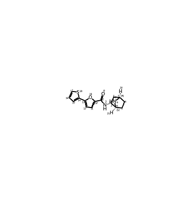 O=C(N[C@@H]1C[C@H]2CC[C@@H]1N2)c1ccc(-c2cccs2)o1